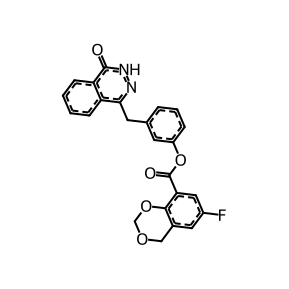 O=C(Oc1cccc(Cc2n[nH]c(=O)c3ccccc23)c1)c1cc(F)cc2c1OCOC2